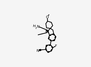 COC1CCC2(CC1)Cc1ccc(-c3cc(C#N)ccc3F)cc1C21N=C(C)C(N)=N1